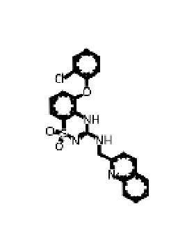 O=S1(=O)N=C(NCc2ccc3ccccc3n2)Nc2c(Oc3ccccc3Cl)cccc21